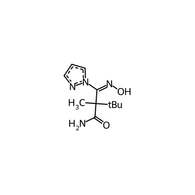 CC(C)(C)C(C)(C(N)=O)C(=NO)n1cccn1